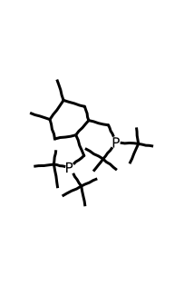 CC1CC(CP(C(C)(C)C)C(C)(C)C)C(CP(C(C)(C)C)C(C)(C)C)CC1C